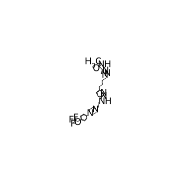 CNC(=O)c1cn(CCCCc2ccc(NCCN3CCN(c4ccc(OC(F)(F)F)cc4)CC3)nn2)nn1